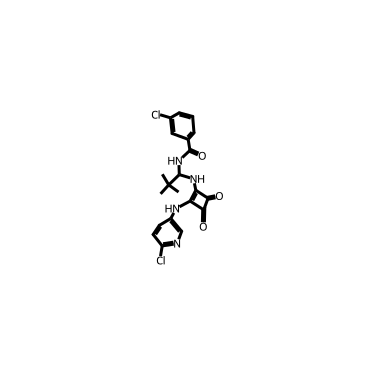 CC(C)(C)C(NC(=O)c1cccc(Cl)c1)Nc1c(Nc2ccc(Cl)nc2)c(=O)c1=O